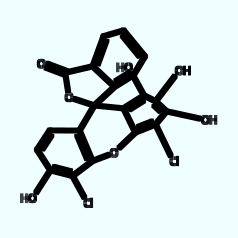 O=C1OC2(c3ccccc31)c1ccc(O)c(Cl)c1Oc1c(Cl)c(O)c(O)c(O)c12